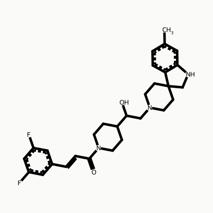 Cc1ccc2c(c1)NCC21CCN(CC(O)C2CCN(C(=O)/C=C/c3cc(F)cc(F)c3)CC2)CC1